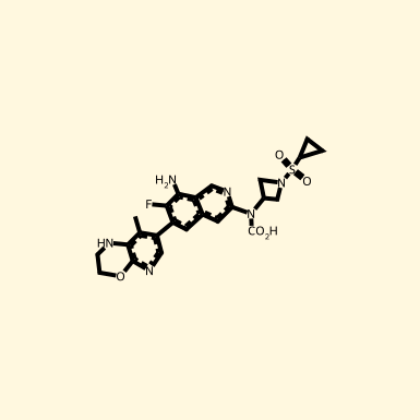 Cc1c(-c2cc3cc(N(C(=O)O)C4CN(S(=O)(=O)C5CC5)C4)ncc3c(N)c2F)cnc2c1NCCO2